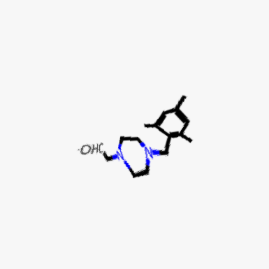 Cc1cc(C)c(CN2CCN(C[C]=O)CC2)c(C)c1